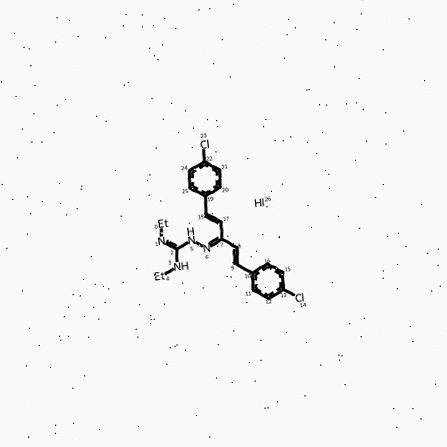 CC/N=C(/NCC)NN=C(/C=C/c1ccc(Cl)cc1)/C=C/c1ccc(Cl)cc1.I